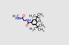 CNC(=O)CNC(=O)c1cc(C(C)(C)C)cc(C(C)(C)C)c1